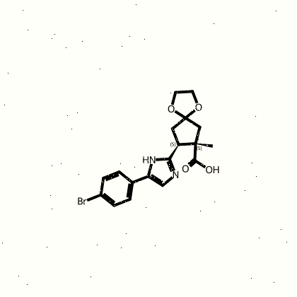 C[C@]1(C(=O)O)CC2(C[C@@H]1c1ncc(-c3ccc(Br)cc3)[nH]1)OCCO2